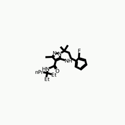 CCCC(CC)(CC)NC(=O)c1c(C)nn2c1NC(c1ccccc1F)CC2(C)C